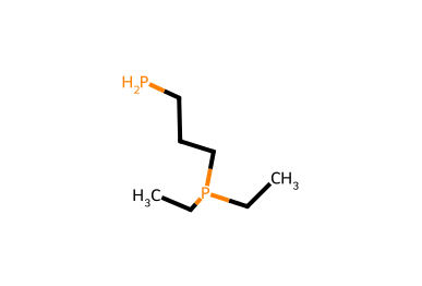 CCP(CC)CCCP